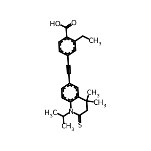 CCc1cc(C#Cc2ccc3c(c2)C(C)(C)CC(=S)N3C(C)C)ccc1C(=O)O